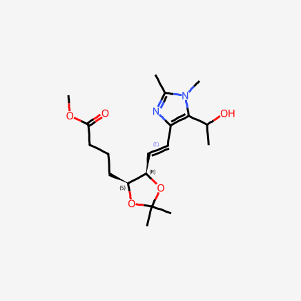 COC(=O)CCC[C@@H]1OC(C)(C)O[C@@H]1/C=C/c1nc(C)n(C)c1C(C)O